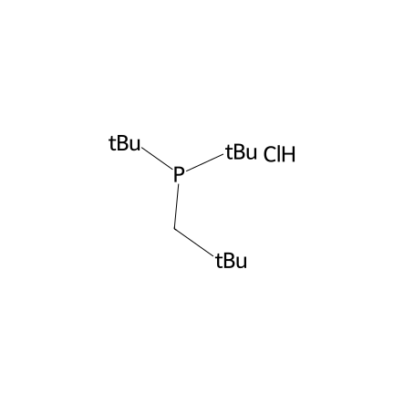 CC(C)(C)CP(C(C)(C)C)C(C)(C)C.Cl